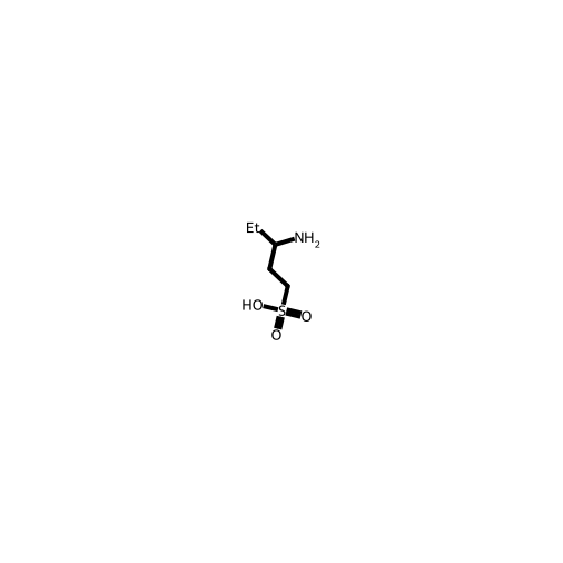 CCC(N)CCS(=O)(=O)O